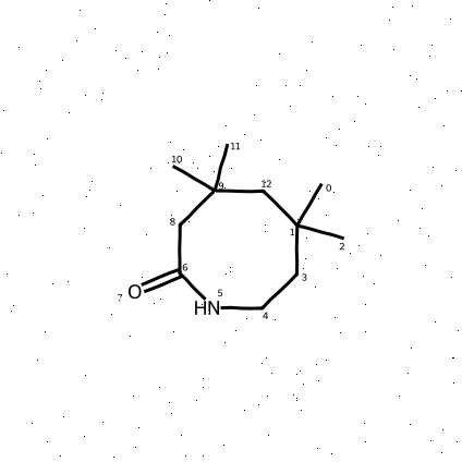 CC1(C)CCNC(=O)CC(C)(C)C1